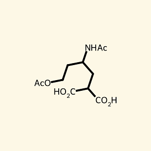 CC(=O)NC(CCOC(C)=O)CC(C(=O)O)C(=O)O